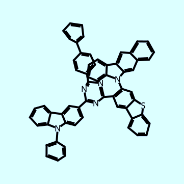 c1ccc(-c2ccc(-c3nc(-c4ccc5c(c4)c4ccccc4n5-c4ccccc4)nc(-c4cc5c(cc4-n4c6ccccc6c6cc7ccccc7cc64)sc4ccccc45)n3)cc2)cc1